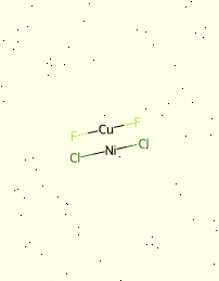 [Cl][Ni][Cl].[F][Cu][F]